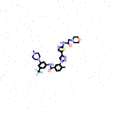 Cc1ccc(C(=O)Nc2cc(N3CCN(C)CC3)cc(C(F)(F)F)c2)cc1-n1cc(-c2cnc(NC(=O)CN3CCOCC3)s2)nn1